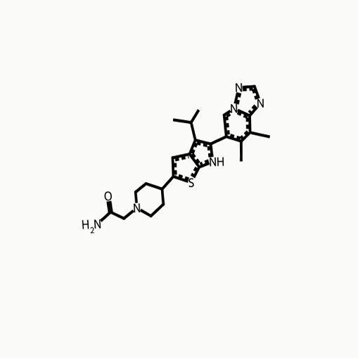 Cc1c(-c2[nH]c3sc(C4CCN(CC(N)=O)CC4)cc3c2C(C)C)cn2ncnc2c1C